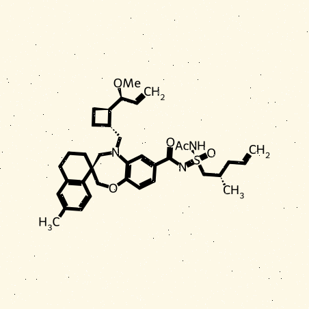 C=CC[C@H](C)C[S@](=O)(=NC(=O)c1ccc2c(c1)N(C[C@@H]1CC[C@H]1[C@H](C=C)OC)C[C@@]1(CCCc3cc(C)ccc31)CO2)NC(C)=O